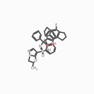 CC1Cn2ncc(S(=O)(=NC(c3ccccc3)(c3ccccc3)c3ccccc3)NC(=O)Nc3c4c(c(F)c5c3CCC5)CCC4)c2O1